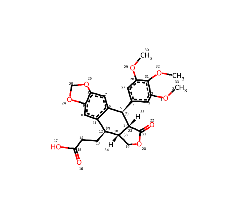 COc1cc([C@@H]2c3cc4c(cc3[C@H](CCC(=O)O)[C@H]3COC(=O)[C@@H]23)OCO4)cc(OC)c1OC